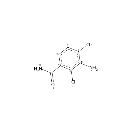 NC(=O)c1ccc(Cl)c(N)c1Cl